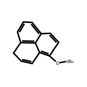 CCCCOc1ccc2cccc3c2c1C=CC3